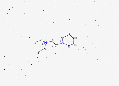 CCN(CC)CCN1CC[CH]CC1